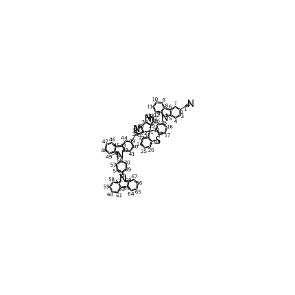 N#Cc1ccc2c(c1)c1ccccc1n2-c1ccc2c(c1)C1(c3ccccc3S2)c2cccnc2-c2ncc(-c3ccc4c(c3)c3ccccc3n4-c3ccc(-n4c5ccccc5c5ccccc54)cc3)cc21